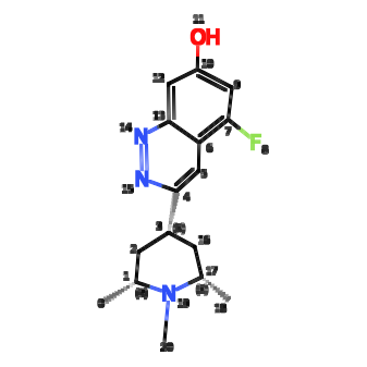 C[C@@H]1C[C@H](c2cc3c(F)cc(O)cc3nn2)C[C@H](C)N1C